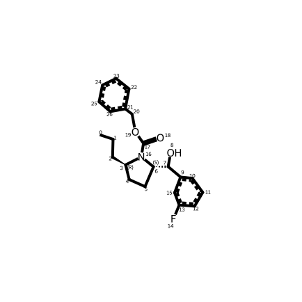 CCC[C@@H]1CC[C@@H](C(O)c2cccc(F)c2)N1C(=O)OCc1ccccc1